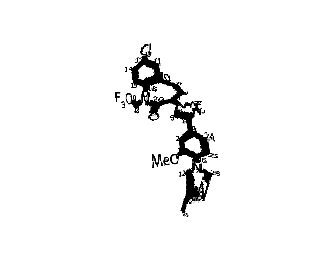 COc1cc(-c2cn(C3CCc4cc(Cl)ccc4N(CC(F)(F)F)C3=O)nn2)ccc1-n1cnc(C)c1